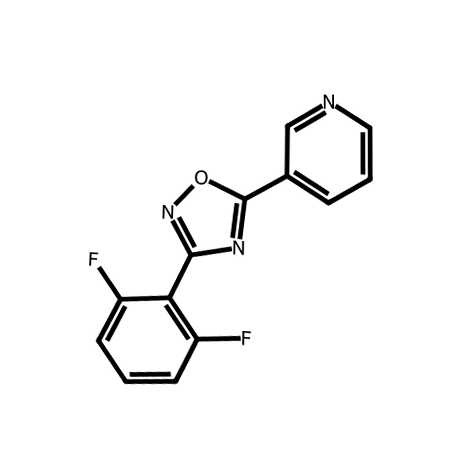 Fc1cccc(F)c1-c1noc(-c2cccnc2)n1